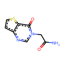 NC(=O)Cn1cnc2ccsc2c1=O